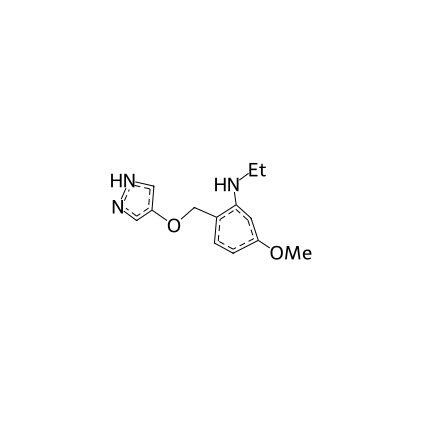 CCNc1cc(OC)ccc1COc1cn[nH]c1